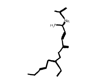 C=C(/C=C/C(P)NC(C)C)CCC(CC)CCCCC